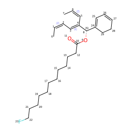 C\C=C/C=C(\C=C/C)[C@@H](OC(=O)CCCCCCCCCCCF)C1=CC=CCC1